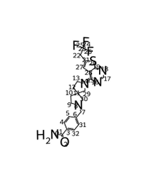 NC(=O)c1ccc(CN2CCC3(CCN(c4ncnc5sc(CC(F)(F)F)cc45)C3)C2)cc1